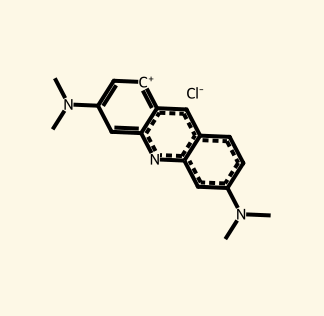 CN(C)C1=C[C+]=c2cc3ccc(N(C)C)cc3nc2=C1.[Cl-]